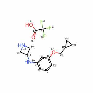 O=C(O)C(F)(F)F.c1cc(NC2CNC2)cc(OCC2CC2)c1